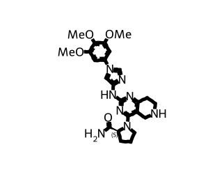 COc1cc(-n2cnc(Nc3nc4c(c(N5CCC[C@H]5C(N)=O)n3)CNCC4)c2)cc(OC)c1OC